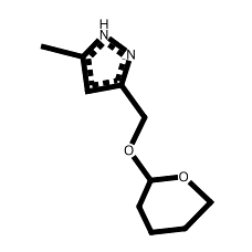 Cc1cc(COC2CCCCO2)n[nH]1